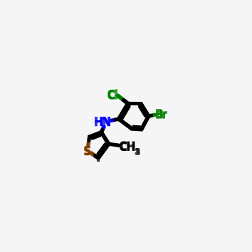 Cc1[c]scc1Nc1ccc(Br)cc1Cl